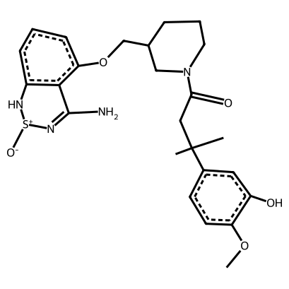 COc1ccc(C(C)(C)CC(=O)N2CCCC(COc3cccc4c3C(N)=N[S+]([O-])N4)C2)cc1O